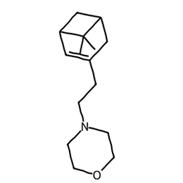 CC1(C)C2C=C(CCN3CCOCC3)CC1C2